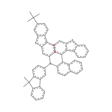 CC(C)(C)c1ccc2c(c1)sc1cc(N(c3ccc4c(c3)-c3ccccc3C4(C)C)c3ccc4ccccc4c3-c3cccc4sc5ccccc5c34)ccc12